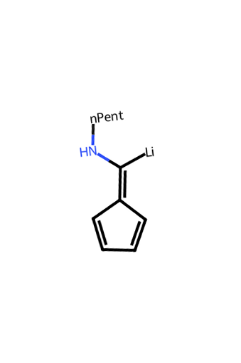 [Li][C](NCCCCC)=C1C=CC=C1